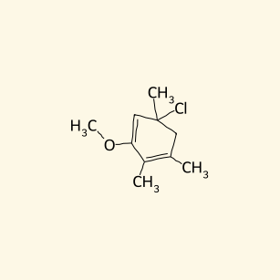 COC1=CC(C)(Cl)CC(C)=C1C